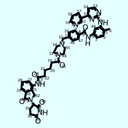 Cc1ccc(NC(=O)c2ccc(CN3CCN(C(=O)CCCCC(=O)Nc4cccc5c4CN(C4CCC(=O)NC4=O)C5=O)CC3)cc2)cc1Nc1nccc(-c2cccnc2)n1